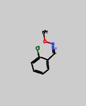 CCCO/N=[C]\c1ccccc1Cl